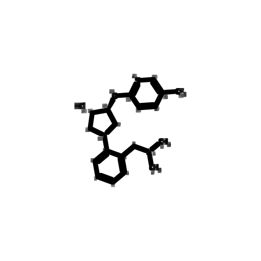 CN(C)Cc1ccccc1N1CC[C@@H](Oc2ccc(C(F)(F)F)cn2)C1.Cl